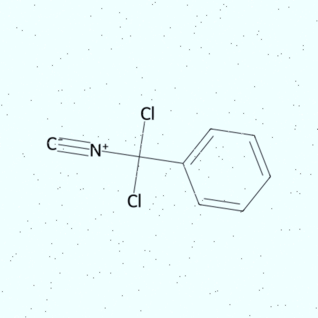 [C-]#[N+]C(Cl)(Cl)c1ccccc1